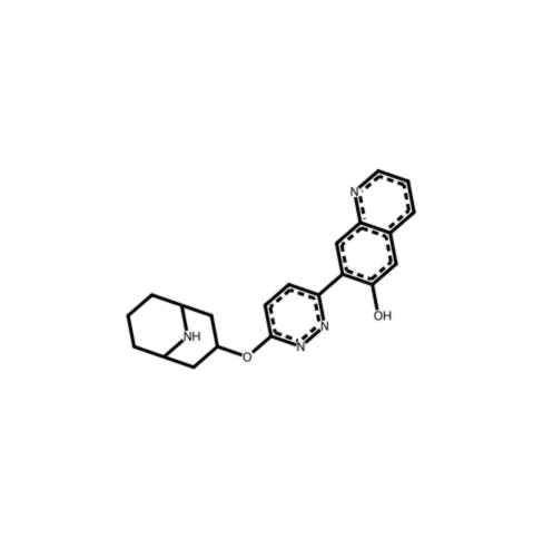 Oc1cc2cccnc2cc1-c1ccc(OC2CC3CCCC(C2)N3)nn1